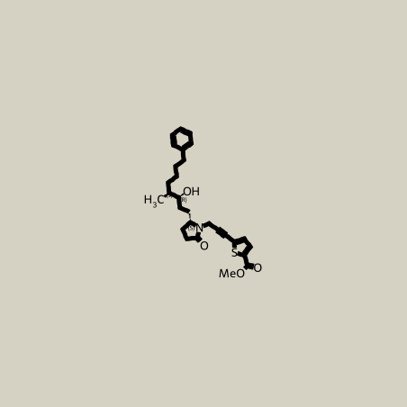 COC(=O)c1ccc(C#CCN2C(=O)CC[C@@H]2CC[C@@H](O)[C@@H](C)CCCCc2ccccc2)s1